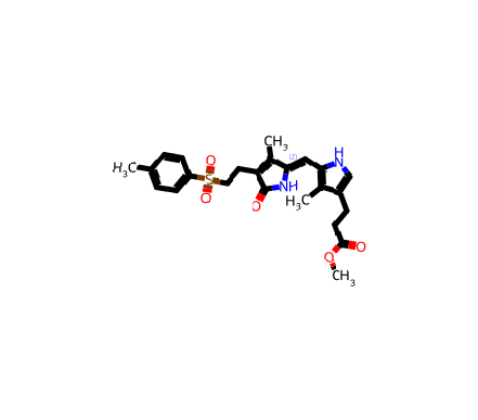 COC(=O)CCc1c[nH]c(/C=C2\NC(=O)C(CCS(=O)(=O)c3ccc(C)cc3)=C2C)c1C